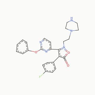 O=c1on(CCN2CCNCC2)c(-c2ccnc(Oc3ccccc3)n2)c1-c1ccc(F)cc1